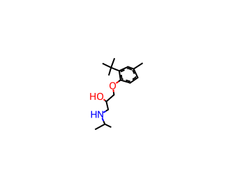 Cc1ccc(OCC(O)CNC(C)C)c(C(C)(C)C)c1